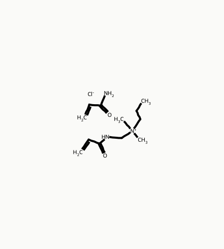 C=CC(=O)NC[N+](C)(C)CCC.C=CC(N)=O.[Cl-]